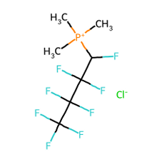 C[P+](C)(C)C(F)C(F)(F)C(F)(F)C(F)(F)F.[Cl-]